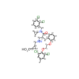 Cc1cc(Cl)c(OCCOc2ccccc2CC(CNCC2CC2C(=O)O)C(=O)N(Cc2cccc(Cl)c2Cl)C2CC2)c(Cl)c1